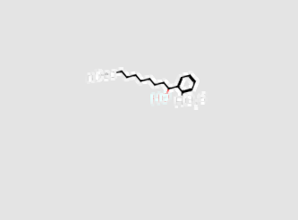 CCCCCCCCCCCCCCCCCC(O)c1ccccc1S(=O)(=O)O